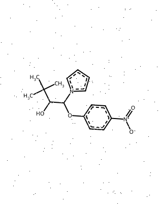 CC(C)(C)C(O)C(Oc1ccc([N+](=O)[O-])cc1)n1cccc1